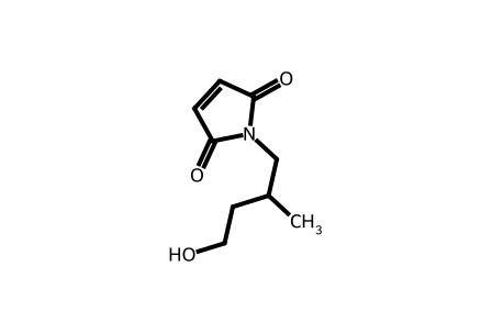 CC(CCO)CN1C(=O)C=CC1=O